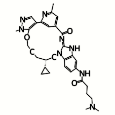 Cc1cc2cc(n1)-c1cnn(C)c1OCCC[C@@H](C1CC1)CN1/C(=N/C2=O)Nc2cc(NC(=O)CCCN(C)C)ccc21